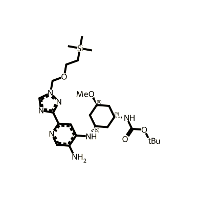 CO[C@H]1C[C@H](NC(=O)OC(C)(C)C)C[C@H](Nc2cc(-c3ncn(COCC[Si](C)(C)C)n3)ncc2N)C1